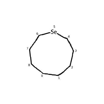 C1CCCC[Se]CCC1